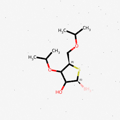 B[C@@H]1S[C@H](COC(C)C)C(OC(C)C)C1O